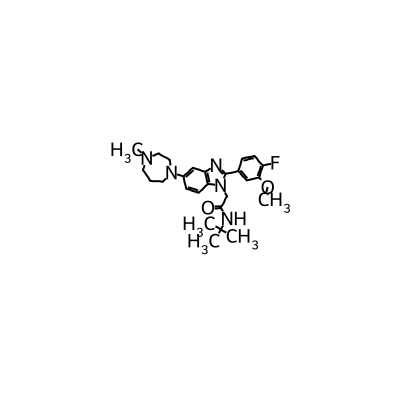 COc1cc(-c2nc3cc(N4CCCN(C)CC4)ccc3n2CC(=O)NC(C)(C)C)ccc1F